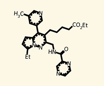 CCOC(=O)CCCCc1c(CNC(=O)c2cnccn2)nn2c(CC)ccc2c1-c1cncc(C)c1